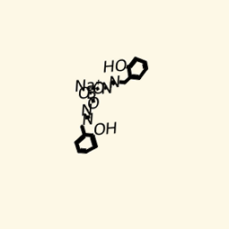 [Na+].[O-]B(ON=NCc1ccccc1O)ON=NCc1ccccc1O